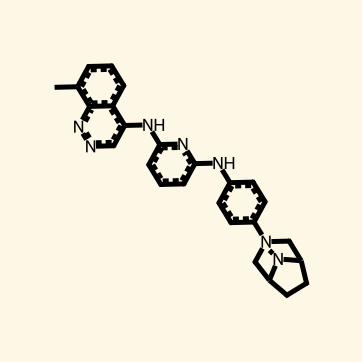 Cc1cccc2c(Nc3cccc(Nc4ccc(N5CC6CCC(C5)N6C)cc4)n3)cnnc12